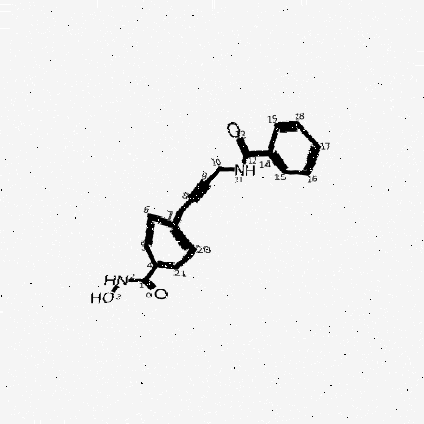 O=C(NO)c1ccc(C#CCNC(=O)c2ccccc2)cc1